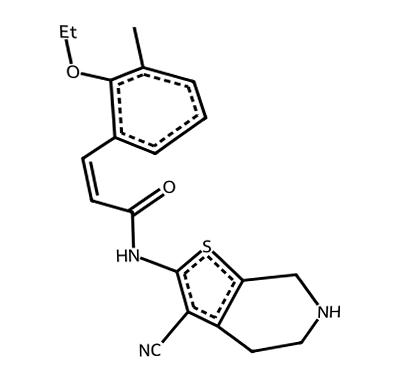 CCOc1c(C)cccc1/C=C\C(=O)Nc1sc2c(c1C#N)CCNC2